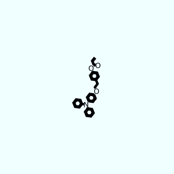 C=CC(=O)Oc1ccc(CCOc2ccc(N(c3ccccc3)c3ccccc3)cc2)cc1